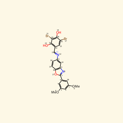 COc1cc(OC)cc(-c2nc3cc(/N=C/c4cc(Br)c(O)c(Br)c4O)ccc3o2)c1